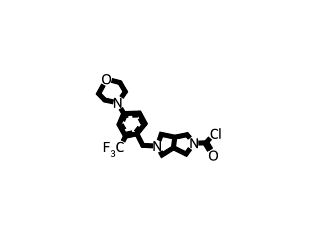 O=C(Cl)N1CC2CN(Cc3ccc(N4CCOCC4)cc3C(F)(F)F)CC2C1